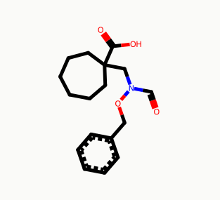 O=CN(CC1(C(=O)O)CCCCCC1)OCc1ccccc1